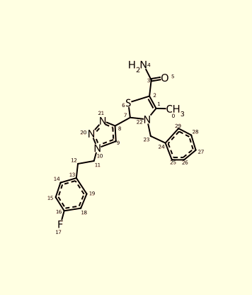 CC1=C(C(N)=O)SC(c2cn(CCc3ccc(F)cc3)nn2)N1Cc1ccccc1